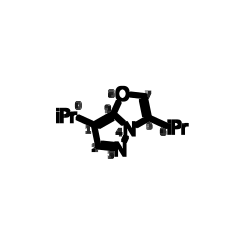 CC(C)c1cnn2c(C(C)C)coc12